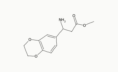 COC(=O)CC(N)c1ccc2c(c1)OCCO2